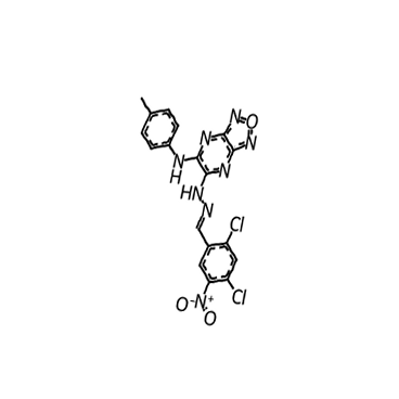 Cc1ccc(Nc2nc3nonc3nc2NN=Cc2cc([N+](=O)[O-])c(Cl)cc2Cl)cc1